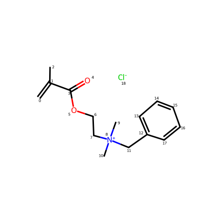 C=C(C)C(=O)OCC[N+](C)(C)Cc1ccccc1.[Cl-]